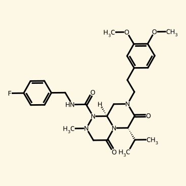 COc1ccc(CCN2C[C@H]3N(C(=O)CN(C)N3C(=O)NCc3ccc(F)cc3)[C@@H](C(C)C)C2=O)cc1OC